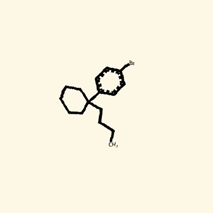 CCCCC1(c2ccc(Br)cc2)CCCCC1